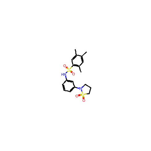 Cc1cc(C)c(S(=O)(=O)Nc2cccc(N3CCCS3(=O)=O)c2)cc1C